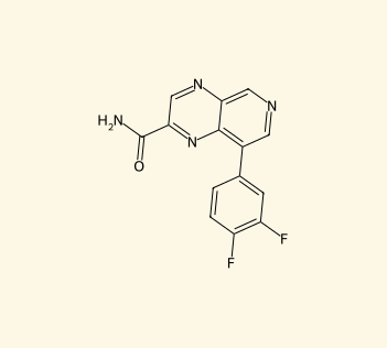 NC(=O)c1cnc2cncc(-c3ccc(F)c(F)c3)c2n1